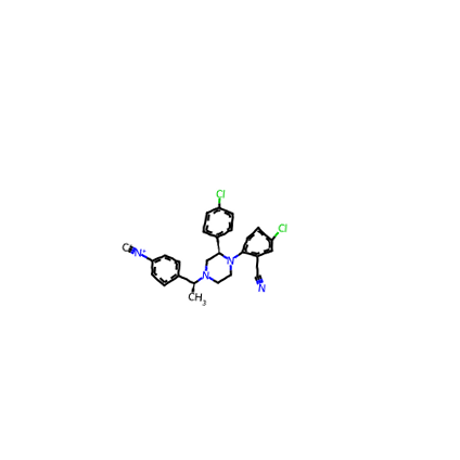 [C-]#[N+]c1ccc([C@H](C)N2CCN(c3ccc(Cl)cc3C#N)[C@H](c3ccc(Cl)cc3)C2)cc1